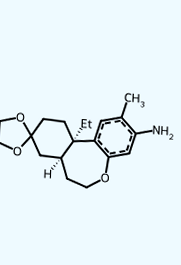 CC[C@@]12CCC3(C[C@@H]1CCOc1cc(N)c(C)cc12)OCCO3